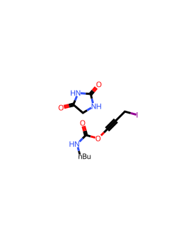 CCCCNC(=O)OC#CCI.O=C1CNC(=O)N1